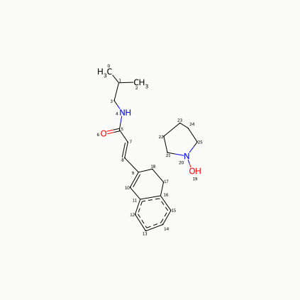 CC(C)CNC(=O)C=CC1=Cc2ccccc2CC1.ON1CCCCC1